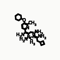 Cc1nc(/C(N)=C(\CN(N)/N=C(\N)CC2CCC2)N(C)N)ccc1OC1CCCCC1